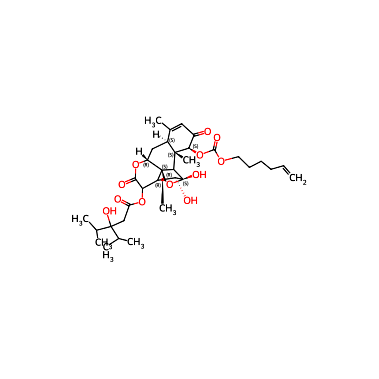 C=CCCCCOC(=O)O[C@@H]1C(=O)C=C(C)[C@@H]2C[C@H]3OC(=O)C(OC(=O)CC(O)(C(C)C)C(C)C)C4[C@@H](C)[C@@H](O)[C@@]5(O)OC[C@@]43C5[C@@]12C